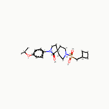 CC(C)Oc1ccc(N2CCC3(CCN(S(=O)(=O)CC4CCC4)CC3)C2=O)cc1